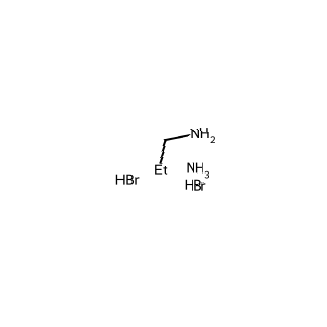 Br.Br.CCCN.N